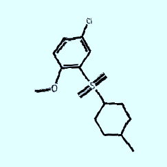 C=S(=C)(c1cc(Cl)ccc1OC)C1CCC(C)CC1